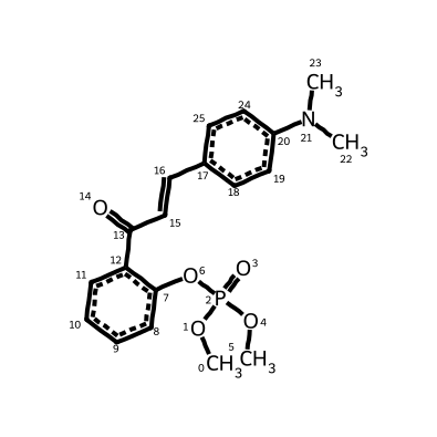 COP(=O)(OC)Oc1ccccc1C(=O)C=Cc1ccc(N(C)C)cc1